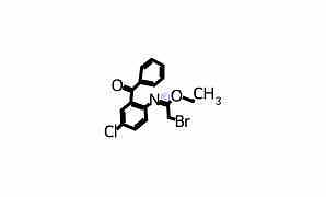 CCO/C(CBr)=N/c1ccc(Cl)cc1C(=O)c1ccccc1